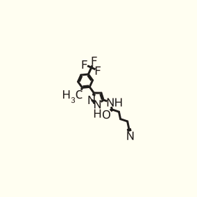 Cc1ccc(C(F)(F)F)cc1-c1cc(NC(=O)CCCC#N)[nH]n1